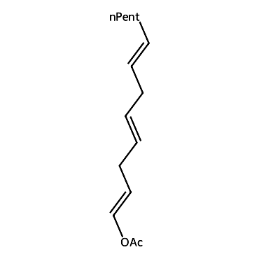 CCCCCC=CCC=CCC=COC(C)=O